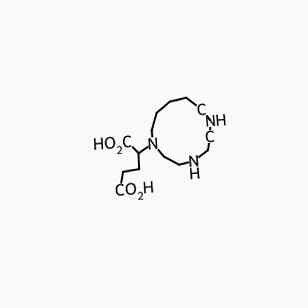 O=C(O)CCC(C(=O)O)N1CCCCCNCCNCC1